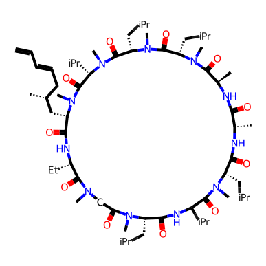 C=C/C=C/C[C@@H](C)C[C@H]1C(=O)N[C@@H](CC)C(=O)N(C)CC(=O)N(C)[C@@H](CC(C)C)C(=O)NC(C(C)C)C(=O)N(C)[C@@H](CC(C)C)C(=O)N[C@@H](C)C(=O)N[C@H](C)C(=O)N(C)[C@@H](CC(C)C)C(=O)N(C)[C@@H](CC(C)C)C(=O)N(C)[C@@H](C(C)C)C(=O)N1C